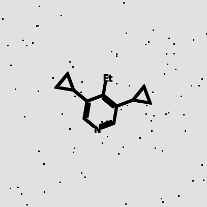 CCc1c(C2CC2)cncc1C1CC1